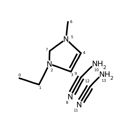 CCN1C=CN(C)C1.N#CN.N#CN